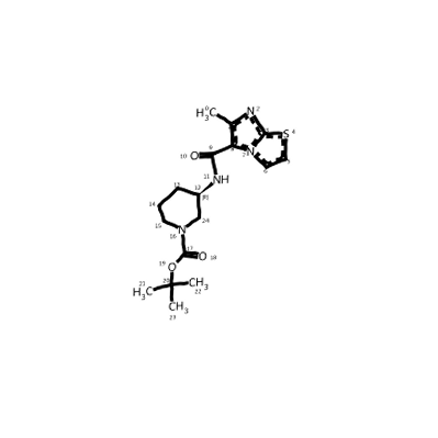 Cc1nc2sccn2c1C(=O)N[C@@H]1CCCN(C(=O)OC(C)(C)C)C1